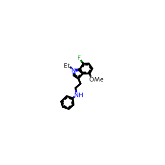 CCn1cc(CCNc2ccccc2)c2c(OC)ccc(F)c21